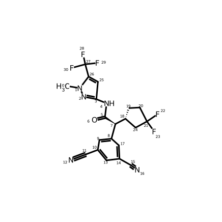 Cn1nc(NC(=O)[C@H](c2cc(C#N)cc(C#N)c2)[C@@H]2CCC(F)(F)C2)cc1C(F)(F)F